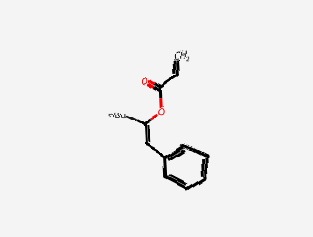 C=CC(=O)OC(=Cc1ccccc1)CCCC